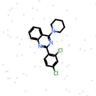 Clc1ccc(-c2nc(N3CCCCC3)c3ccccc3n2)c(Cl)c1